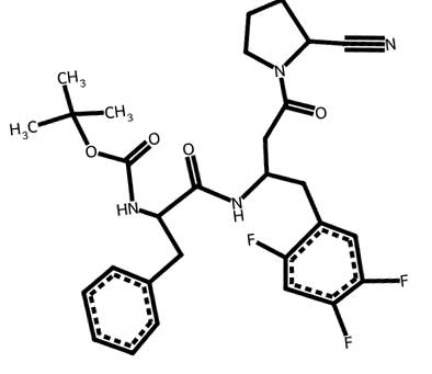 CC(C)(C)OC(=O)NC(Cc1ccccc1)C(=O)NC(CC(=O)N1CCCC1C#N)Cc1cc(F)c(F)cc1F